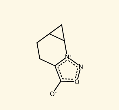 [O-]c1on[n+]2c1CCC1CC12